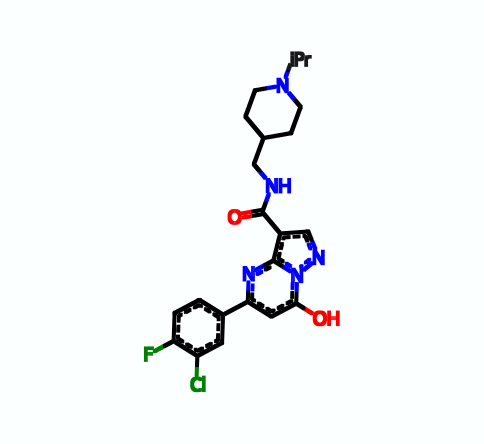 CC(C)N1CCC(CNC(=O)c2cnn3c(O)cc(-c4ccc(F)c(Cl)c4)nc23)CC1